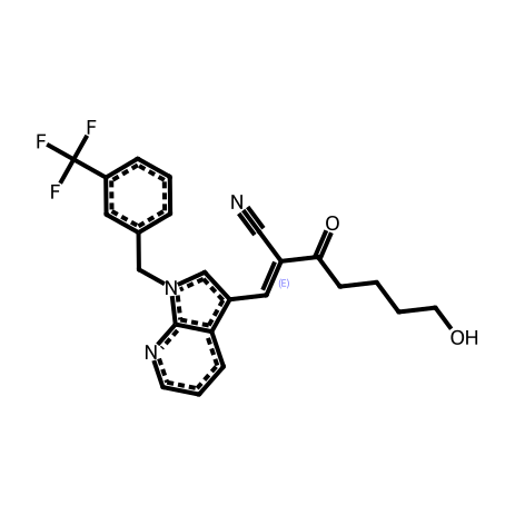 N#C/C(=C\c1cn(Cc2cccc(C(F)(F)F)c2)c2ncccc12)C(=O)CCCCO